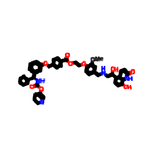 COc1cc(CNCC(O)c2ccc(O)c3[nH]c(=O)ccc23)ccc1OCCOC(=O)c1ccc(COc2cccc([C@@H](NC(=O)OC3CN4CCC3CC4)c3ccccc3)c2)cc1